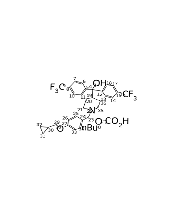 CCCCOC(=O)O.OC(c1ccc(C(F)(F)F)cc1)(c1ccc(C(F)(F)F)cc1)C1CCN(Cc2ccc(OCC3CC3)cc2)CC1